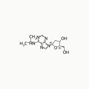 CC(C)Nc1ncnc2c1ncn2[C@H]1CC(O)[C@@H](CO)O1